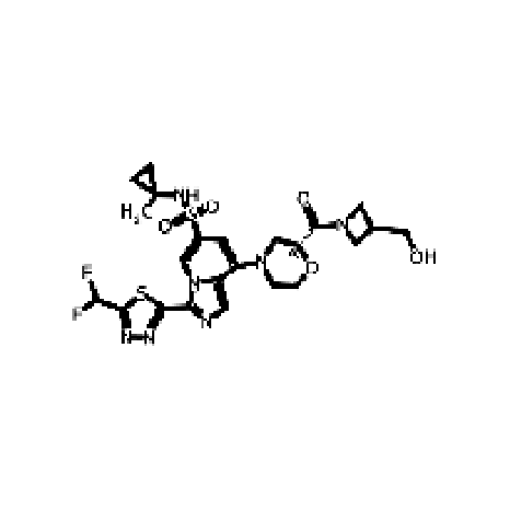 CC1(NS(=O)(=O)c2cc(N3CCO[C@@H](C(=O)N4CC(CO)C4)C3)c3cnc(-c4nnc(C(F)F)s4)n3c2)CC1